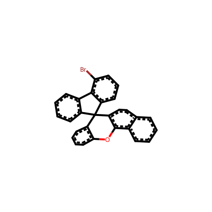 Brc1cccc2c1-c1ccccc1C21c2ccccc2Oc2c1ccc1ccccc21